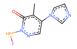 Cc1c(-n2ccnc2)cnn(PI)c1=O